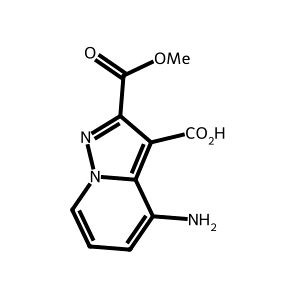 COC(=O)c1nn2cccc(N)c2c1C(=O)O